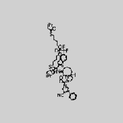 CC(C)CC(=O)SCCCCOP(=O)(OCCCCSC(=O)CC(C)C)C(F)(F)c1ccc2sc(C(=O)N[C@H]3CCCC[C@H]4CC[C@@H](C(=O)N5C[C@H](c6ccccc6)[C@@H](C#N)C5)N4C3=O)cc2c1